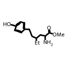 CCC(CCc1ccc(O)cc1)CC(N)C(=O)OC